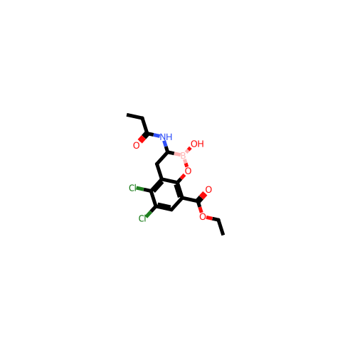 CCOC(=O)c1cc(Cl)c(Cl)c2c1OB(O)C(NC(=O)CC)C2